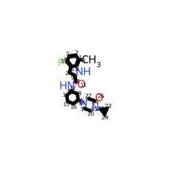 Cc1ccc(F)c2c1NC(C(=O)N[C@@H]1CCC[C@@H](N3CCN(C4CC4)C(=O)C3)C1)C2